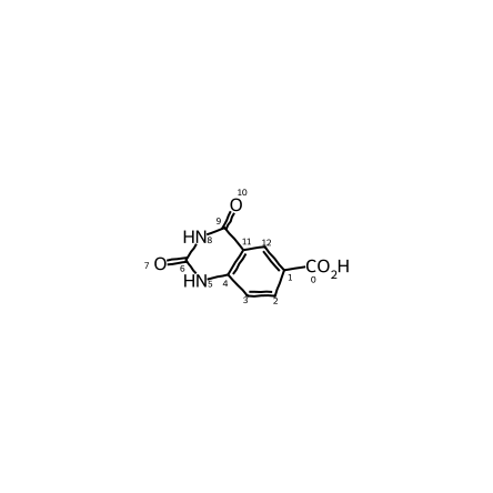 O=C(O)c1ccc2[nH]c(=O)[nH]c(=O)c2c1